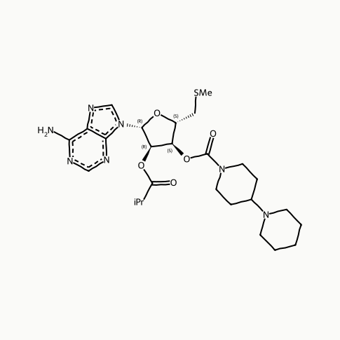 CSC[C@H]1O[C@@H](n2cnc3c(N)ncnc32)[C@H](OC(=O)C(C)C)[C@@H]1OC(=O)N1CCC(N2CCCCC2)CC1